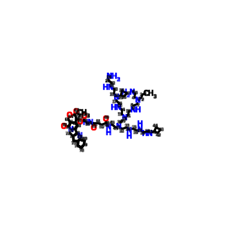 CCCN(CCN)CCNCCN(CCNCCN(CCNCCN)C1CCC1)CCN(CCNCCNCCNC1CCC1)CCNC(=O)CCC(=O)NCC(=O)O[C@]1(CC)C(=O)OCc2c1cc1n(c2=O)Cc2cc3ccccc3nc2-1